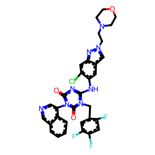 O=c1nc(Nc2cc3cn(CCN4CCOCC4)nc3cc2Cl)n(Cc2cc(F)c(F)cc2F)c(=O)n1-c1cncc2ccccc12